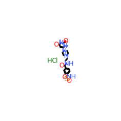 Cl.Cn1c(N2CCN(CCNC(=O)c3ccc(NS(C)(=O)=O)cc3)CC2)cc(=O)n(C)c1=O